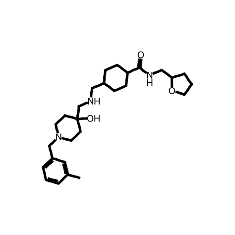 Cc1cccc(CN2CCC(O)(CNCC3CCC(C(=O)NCC4CCCO4)CC3)CC2)c1